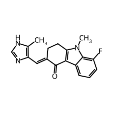 Cc1[nH]cnc1C=C1CCc2c(c3cccc(F)c3n2C)C1=O